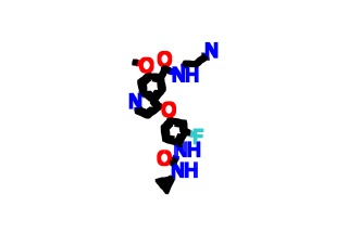 COc1cc2nccc(Oc3ccc(NC(=O)NC4CC4)c(F)c3)c2cc1C(=O)NCCC#N